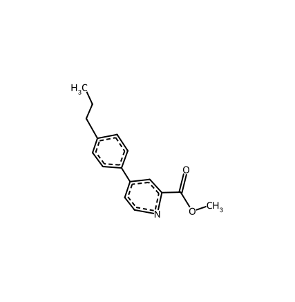 CCCc1ccc(-c2ccnc(C(=O)OC)c2)cc1